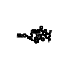 COCCN(CCOC)Cc1ccc(C(=O)Nc2c(C(N)=O)oc3c(F)cc(F)cc23)o1